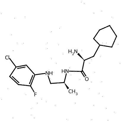 C[C@@H](CNc1cc(Cl)ccc1F)NC(=O)[C@@H](N)CC1CCCCC1